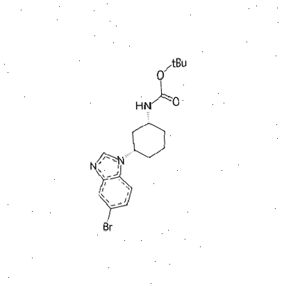 CC(C)(C)OC(=O)N[C@@H]1CCC[C@H](n2cnc3cc(Br)ccc32)C1